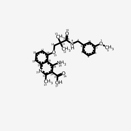 COc1cccc(CNC(=O)C(C)(C)COc2cccc3nc(C)c(C(=O)O)c(N)c23)c1